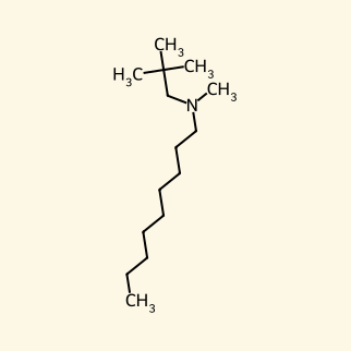 CCCCCCCCCN(C)CC(C)(C)C